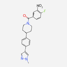 Cn1cc(-c2ccc(C3CCN(C(=O)c4ccc(F)c([N+](=O)[O-])c4)CC3)cc2)cn1